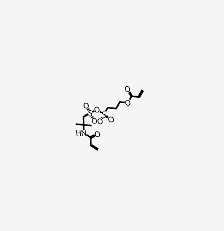 C=CC(=O)NC(C)(C)CS(=O)(=O)OS(=O)(=O)CCCOC(=O)C=C